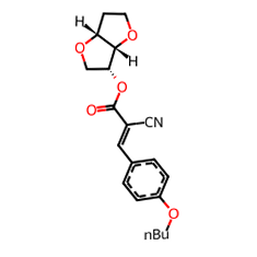 CCCCOc1ccc(/C=C(\C#N)C(=O)O[C@@H]2CO[C@@H]3CCO[C@@H]32)cc1